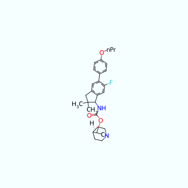 CCCOc1ccc(-c2cc3c(cc2F)C(NC(=O)O[C@H]2CN4CCC2CC4)C(C)(C)C3)cc1